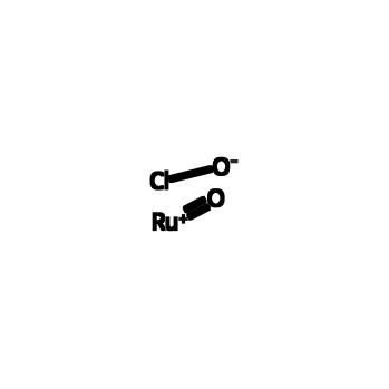 [O-]Cl.[O]=[Ru+]